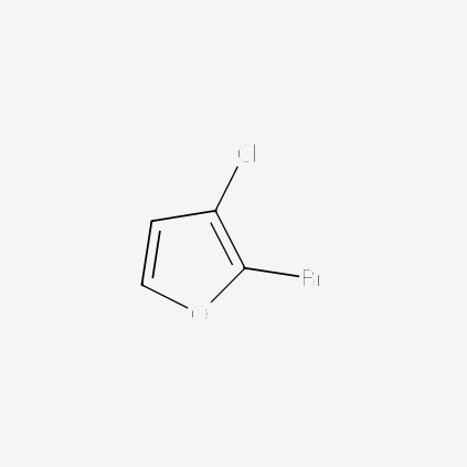 Clc1ccoc1Br